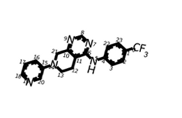 FC(F)(F)c1ccc(Nc2ncnc3c2CCN(c2cccnc2)C3)cc1